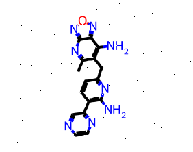 Cc1nc2nonc2c(N)c1Cc1ccc(-c2cnccn2)c(N)n1